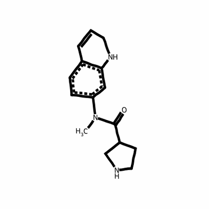 CN(C(=O)C1CCNC1)c1ccc2c(c1)NCC=C2